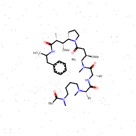 CC[C@H](C)[C@@H]([C@@H](CC(=O)N1CCC[C@H]1[C@H](OC)[C@@H](C)C(=O)NC(Cc1ccccc1)C(=O)O)OC)N(C)C(=O)[C@@H](NC(=O)[C@H](C(C)C)N(C)CCCCN(C)C(=O)C(C)(C)C)C(C)C